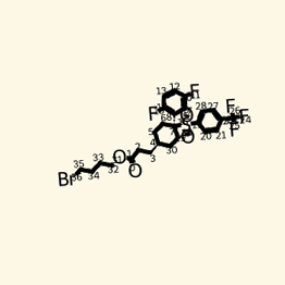 O=C(CC[C@H]1CC[C@@](c2cc(F)ccc2F)(S(=O)(=O)c2ccc(C(F)(F)F)cc2)CC1)OCCCCBr